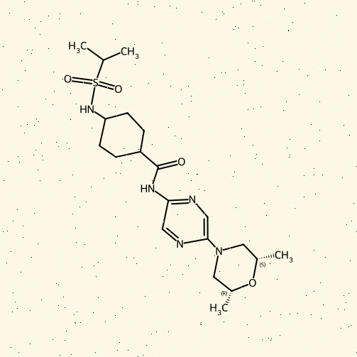 CC(C)S(=O)(=O)NC1CCC(C(=O)Nc2cnc(N3C[C@@H](C)O[C@@H](C)C3)cn2)CC1